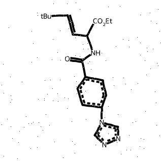 CCOC(=O)C(/C=C/C(C)(C)C)NC(=O)c1ccc(-n2cnnc2)cc1